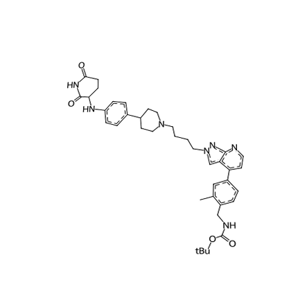 Cc1cc(-c2ccnc3nn(CCCCN4CCC(c5ccc(NC6CCC(=O)NC6=O)cc5)CC4)cc23)ccc1CNC(=O)OC(C)(C)C